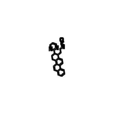 O=C=NCCC1c2ccc3c(ccc4ccccc43)c2CCC1c1ncccn1